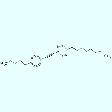 CCCCCCCCc1ccc(C#Cc2ccc(CCCCC)cc2)nc1